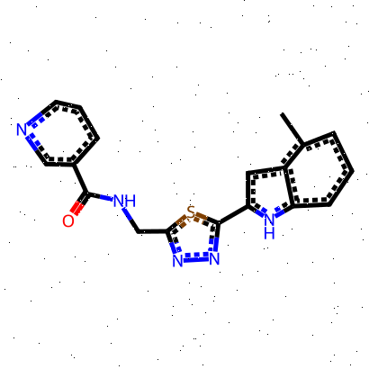 Cc1cccc2[nH]c(-c3nnc(CNC(=O)c4cccnc4)s3)cc12